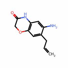 C=CCc1cc2c(cc1N)NC(=O)CO2